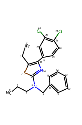 CC(C)Cc1sc(N(CCC#N)Cc2ccccc2)nc1-c1ccc(Cl)c(Cl)c1